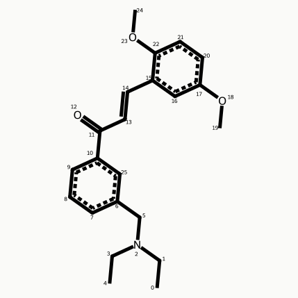 CCN(CC)Cc1cccc(C(=O)C=Cc2cc(OC)ccc2OC)c1